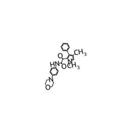 Cc1cn(C)c(C(=O)C(=O)Nc2ccc(N3CCOCC3)cc2)c1-c1ccccc1